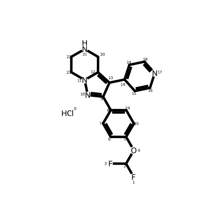 Cl.FC(F)Oc1ccc(-c2nn3c(c2-c2ccncc2)CNCC3)cc1